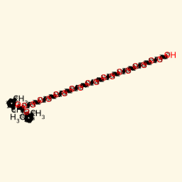 Cc1cccc(C)c1OCC(COc1c(C)cccc1C)OCCOCCOCCOCCOCCOCCOCCOCCOCCOCCOCCOCCOCCOCCOCCOCCOCCOCCO